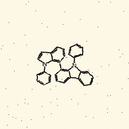 c1ccc(-n2ccc3cccc(-c4cccc5c6ccccc6n(-c6ccccc6)c45)c32)cc1